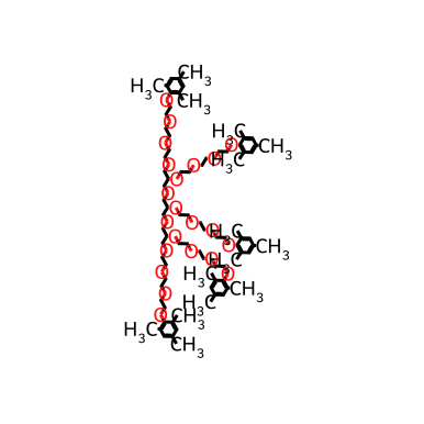 Cc1cc(C)c(OCCOCCOCCOCC(COCC(COCC(COCCOCCOCCOc2c(C)cc(C)cc2C)OCCOCCOCCOc2c(C)cc(C)cc2C)OCCOCCOCCOc2c(C)cc(C)cc2C)OCCOCCOCCOc2c(C)cc(C)cc2C)c(C)c1